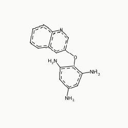 Nc1cc(N)c(Oc2cnc3ccccc3c2)c(N)c1